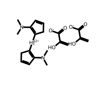 C=C(O)C(=O)[O-].C=C(O)C(=O)[O-].CN(C)C1=[C]([Hf+2][C]2=C(N(C)C)C=CC2)CC=C1